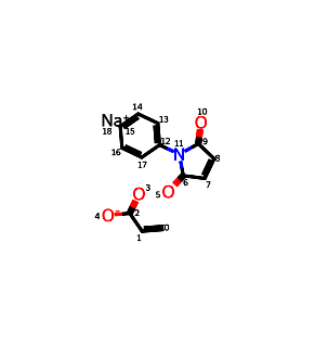 C=CC(=O)[O-].O=C1C=CC(=O)N1c1ccccc1.[Na+]